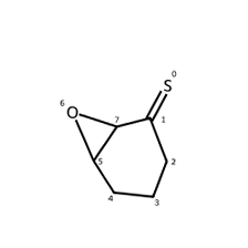 S=C1CCCC2OC12